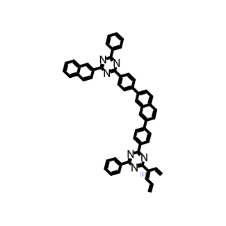 C=C/C=C(\C=C)c1nc(-c2ccccc2)nc(-c2ccc(-c3ccc4ccc(-c5ccc(-c6nc(-c7ccccc7)nc(-c7ccc8ccccc8c7)n6)cc5)cc4c3)cc2)n1